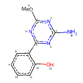 COc1nc(N)nc(-c2ccccc2O)n1